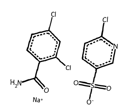 NC(=O)c1ccc(Cl)cc1Cl.O=S(=O)([O-])c1ccc(Cl)nc1.[Na+]